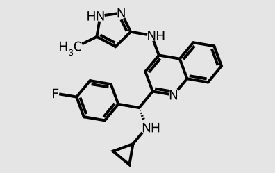 Cc1cc(Nc2cc([C@H](NC3CC3)c3ccc(F)cc3)nc3ccccc23)n[nH]1